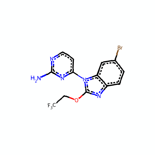 Nc1nccc(-n2c(OCC(F)(F)F)nc3ccc(Br)cc32)n1